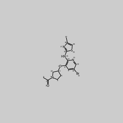 CC(=O)N1CCC(Oc2cc(Br)cnc2Nc2nc(C)cs2)C1